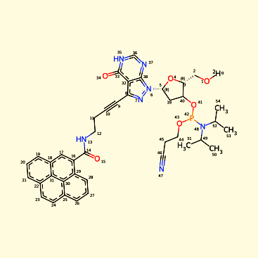 [2H]OC[C@H]1O[C@@H](n2nc(C#CCCNC(=O)c3cc4cccc5ccc6cccc3c6c54)c3c(=O)[nH]cnc32)CC1OP(OCCC#N)N(C(C)C)C(C)C